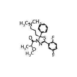 COC(C)C(=O)N1N=C(c2cc(F)ccc2F)S[C@@]1(CCCN(C)C)c1ccccc1